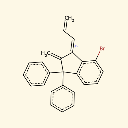 C=C/C=C1\C(=C)C(c2ccccc2)(c2ccccc2)c2cccc(Br)c21